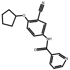 N#Cc1cc(NC(=O)c2cccnc2)ccc1OC1CCCC1